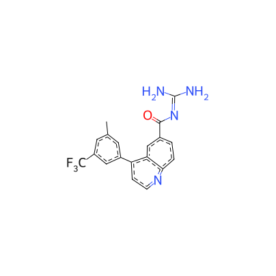 Cc1cc(-c2ccnc3ccc(C(=O)N=C(N)N)cc23)cc(C(F)(F)F)c1